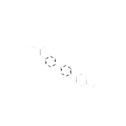 CCCCC(CC)Cc1ccc(-c2ccc(C3CCC(CCC)CC3)cc2)cc1